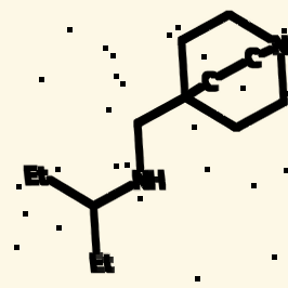 CCC(CC)NCC12CCN(CC1)CC2